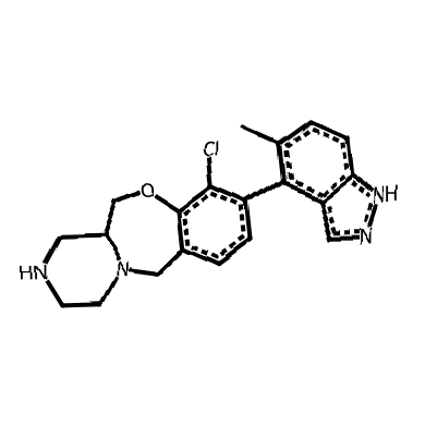 Cc1ccc2[nH]ncc2c1-c1ccc2c(c1Cl)OCC1CNCCN1C2